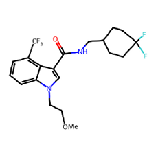 COCCn1cc(C(=O)NCC2CCC(F)(F)CC2)c2c(C(F)(F)F)cccc21